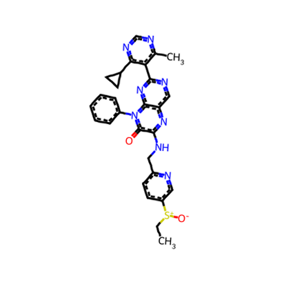 CC[S+]([O-])c1ccc(CNc2nc3cnc(-c4c(C)ncnc4C4CC4)nc3n(-c3ccccc3)c2=O)nc1